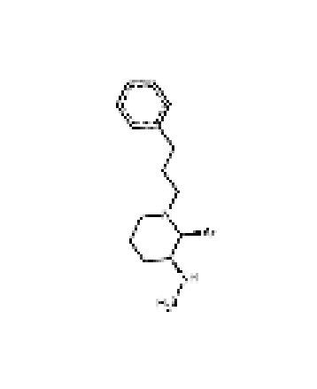 BN[C@H]1CCCN(CCCc2ccccc2)[C@H]1C(C)=O